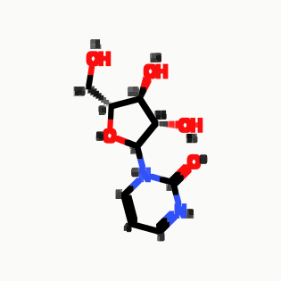 O=c1ncccn1C1O[C@H](CO)[C@@H](O)[C@@H]1O